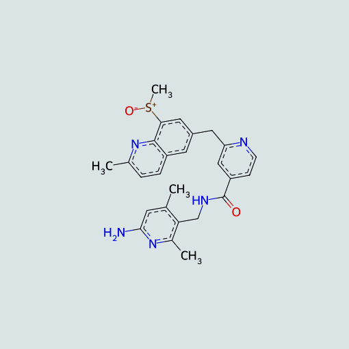 Cc1ccc2cc(Cc3cc(C(=O)NCc4c(C)cc(N)nc4C)ccn3)cc([S+](C)[O-])c2n1